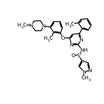 Cc1ccccc1-c1cc(Oc2cccc(N3CCN(C)CC3)c2C)nc(N[S+]([O-])c2cnn(C)c2)n1